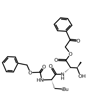 CCC(C)C[C@H](NC(=O)OCc1ccccc1)C(=O)N[C@H](C(=O)OCC(=O)c1ccccc1)[C@@H](C)O